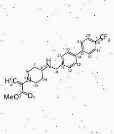 C=C(C(=O)OC)N1CCC(NCc2ccc(-c3ccc(C(F)(F)F)cc3)cc2)CC1